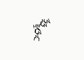 CCN(CC)c1ccc(Nc2cnc(N(C)C)nc2)cn1